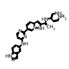 C=C(NC(/C=C\N)=C/N)C1=CC2C=CC(c3nccc(Nc4ccc5[nH]ncc5c4)n3)=CN2N1